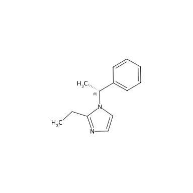 CCc1nccn1[C@H](C)c1ccccc1